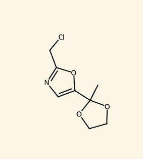 CC1(c2cnc(CCl)o2)OCCO1